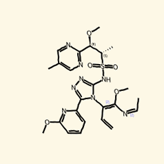 C=C/C(=C(\N=C/C)OC)n1c(NS(=O)(=O)[C@@H](C)[C@H](OC)c2ncc(C)cn2)nnc1-c1cccc(OC)n1